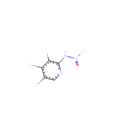 O=[N+]([O-])Nc1ncc(Cl)c(Cl)c1F